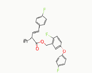 CC(C)C(C=Cc1ccc(F)cc1)C(=O)OCc1cc(Oc2ccc(F)cc2)ccc1F